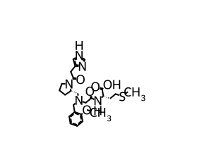 COc1ccccc1CN(CC(=O)N[C@@H](CCSC)C(=O)O)C[C@@H]1CCCN1C(=O)Cc1c[nH]cn1